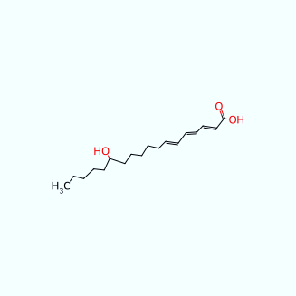 CCCCCC(O)CCCCC/C=C/C=C/C=C/C(=O)O